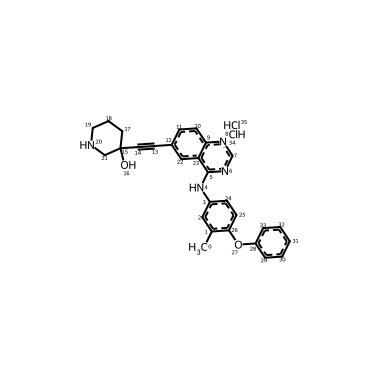 Cc1cc(Nc2ncnc3ccc(C#CC4(O)CCCNC4)cc23)ccc1Oc1ccccc1.Cl.Cl